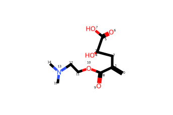 C=C(CC(O)C(=O)O)C(=O)OCCN(C)C